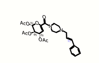 CC(=O)O[C@@H]1OC(C(=O)N2CCN(C/C=C/c3ccccc3)CC2)=C[C@H](OC(C)=O)[C@H]1OC(C)=O